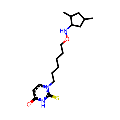 CC1CC(C)C(NOCCCCCCn2ccc(=O)[nH]c2=S)C1